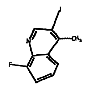 Cc1c(I)cnc2c(F)cccc12